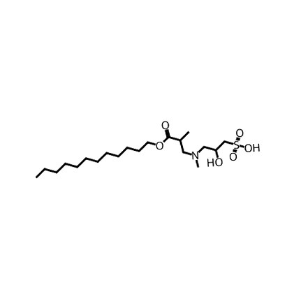 CCCCCCCCCCCCOC(=O)C(C)CN(C)CC(O)CS(=O)(=O)O